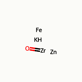 [Fe].[KH].[O]=[Zr].[Zn]